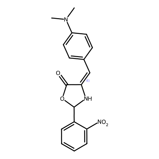 CN(C)c1ccc(/C=C2/NC(c3ccccc3[N+](=O)[O-])OC2=O)cc1